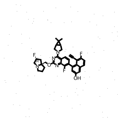 C#Cc1c(F)ccc2cc(O)cc(-c3ccc4c(N5CC6C(C5)C6(C)C)nc(OC[C@@]56CCCN5C[C@H](F)C6)nc4c3F)c12